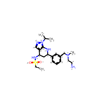 CCS(=O)(=O)NC1CC(c2cccc(CN(C)CCN)c2)Nc2c1cnn2C(C)C